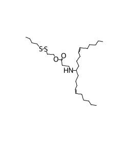 CCCCC/C=C\CCCC(CCC/C=C\CCCCC)NCCC(=O)OCCSSCCCC